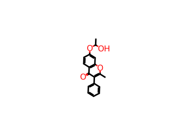 Cc1oc2cc(OC(C)O)ccc2c(=O)c1-c1ccccc1